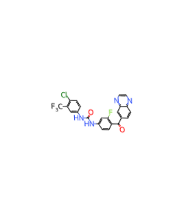 O=C(Nc1ccc(C(=O)c2ccc3nccnc3c2)c(F)c1)Nc1ccc(Cl)c(C(F)(F)F)c1